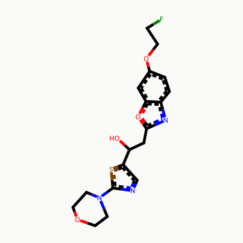 OC(Cc1nc2ccc(OCCF)cc2o1)c1cnc(N2CCOCC2)s1